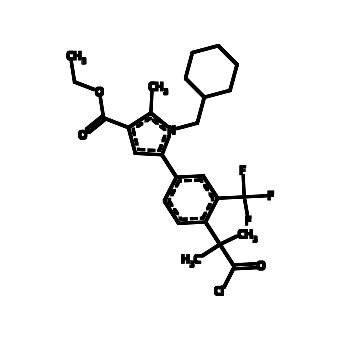 CCOC(=O)c1cc(-c2ccc(C(C)(C)C(=O)Cl)c(C(F)(F)F)c2)n(CC2CCCCC2)c1C